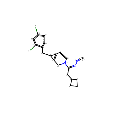 C=N/N=C(/CC1CCC1)N1C=CC2=C(C1)C2Cc1ccc(F)cc1F